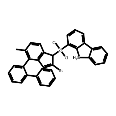 CCC1=Cc2c(ccc(C)c2-c2ccccc2-c2ccccc2)[CH]1[Zr]([Cl])([Cl])[c]1cccc2c1[SiH2]c1ccccc1-2